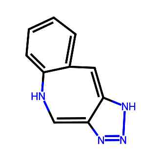 C1=c2nn[nH]c2=Cc2ccccc2N1